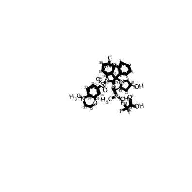 COc1ccccc1C1(N2C[C@H](O)C[C@H]2C(=O)N(C)C)C(=O)N(S(=O)(=O)c2ccc3c(c2)OCCN3C)c2ccc(Cl)cc21.O=C(O)C(F)(F)F